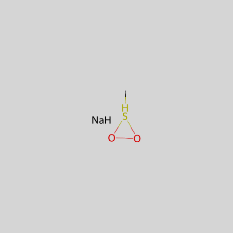 C[SH]1OO1.[NaH]